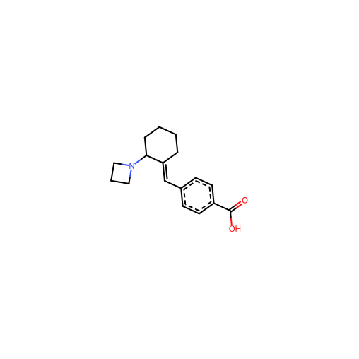 O=C(O)c1ccc(C=C2CCCCC2N2CCC2)cc1